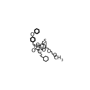 COCCOCC(=O)N1CSC[C@H]1C(=O)N[C@@H](CSCC1CCCCC1)C(=O)NCc1ccc(Oc2ccccc2)cc1